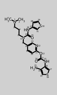 CN(C)CCCN(Cc1ccc(OC(=O)Nc2cscc2N)nc1)C(=O)Nc1ccsc1